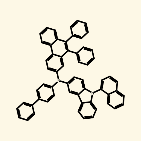 c1ccc(-c2ccc(N(c3ccc4c(c3)c(-c3ccccc3)c(-c3ccccc3)c3ccccc34)c3ccc4c(c3)c3ccccc3n4-c3cccc4ccccc34)cc2)cc1